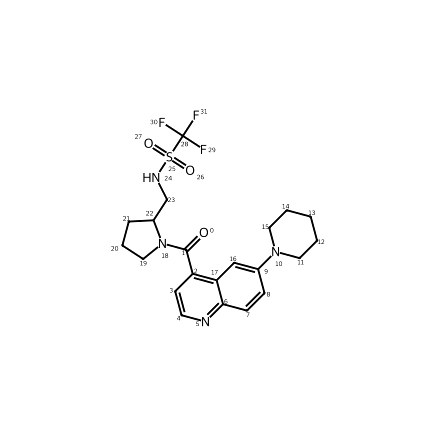 O=C(c1ccnc2ccc(N3CCCCC3)cc12)N1CCCC1CNS(=O)(=O)C(F)(F)F